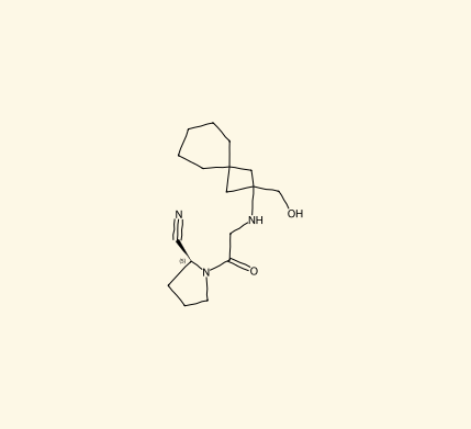 N#C[C@@H]1CCCN1C(=O)CNC1(CO)CC2(CCCCC2)C1